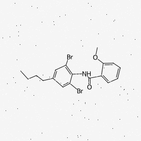 CCCCc1cc(Br)c(NC(=O)c2ccccc2OC)c(Br)c1